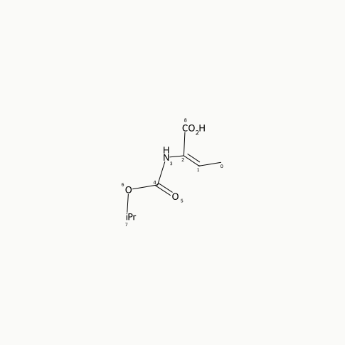 CC=C(NC(=O)OC(C)C)C(=O)O